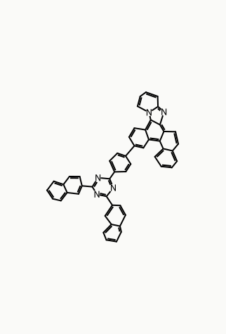 c1ccc2cc(-c3nc(-c4ccc(-c5ccc6c(c5)c5c7ccccc7ccc5c5nc7ccccn7c65)cc4)nc(-c4ccc5ccccc5c4)n3)ccc2c1